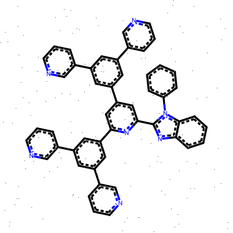 c1ccc(-n2c(-c3cc(-c4cc(-c5cccnc5)cc(-c5cccnc5)c4)cc(-c4cc(-c5cccnc5)cc(-c5cccnc5)c4)n3)nc3ccccc32)cc1